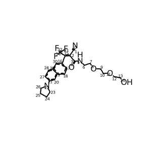 N#CC(C(=O)NCCOCCOCCO)=C(c1ccc2cc(N3CCCC3)ccc2c1)C(F)(F)F